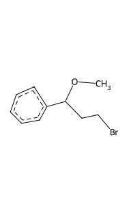 COC(CCBr)c1ccccc1